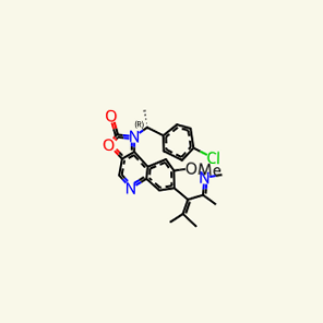 CN=C(C)C(=C(C)C)c1cc2ncc3oc(=O)n([C@H](C)c4ccc(Cl)cc4)c3c2cc1OC